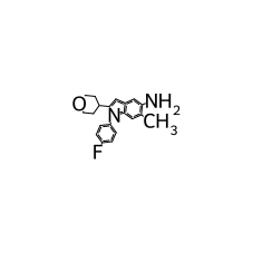 Cc1cc2c(cc1N)cc(C1CCOCC1)n2-c1ccc(F)cc1